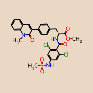 COC(=O)[C@H](Cc1ccc(-c2cc3ccccc3n(C)c2=O)cc1)NC(=O)c1c(Cl)cc(NS(C)(=O)=O)cc1Cl